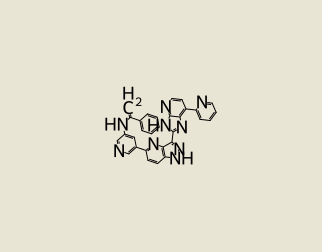 C=C(Nc1cncc(-c2ccc3[nH]nc(-c4nc5c(-c6ccccn6)ccnc5[nH]4)c3n2)c1)c1ccccc1